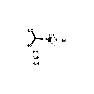 C=C.CC(=O)OC(C)O.N.N.[NaH].[NaH].[NaH]